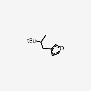 CC(Cc1ccoc1)C(C)(C)C